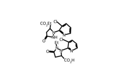 CCN1C(=O)CC(C(=O)O)N1c1ncccc1Cl.CCOC(=O)C1CC(=O)NN1c1ncccc1Cl